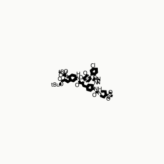 CC(C)(C)OC(=O)c1cc2cc(NC(=O)C(Cc3ccc(NC(=O)N4CCC(S(C)(=O)=O)CC4)cc3)N3CCN(c4cc(Cl)ccc4-n4cnnn4)C(=O)C3=O)ccc2n1C(=O)OC(C)(C)C